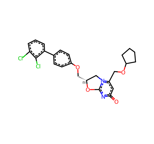 O=c1cc(COC2CCCC2)n2c(n1)O[C@H](COc1ccc(-c3cccc(Cl)c3Cl)cc1)C2